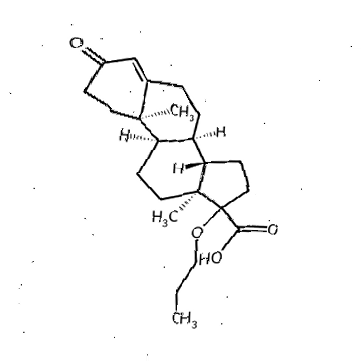 CCCOC1(C(=O)O)CC[C@H]2[C@@H]3CCC4=CC(=O)CC[C@]4(C)[C@@H]3CC[C@@]21C